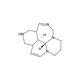 C1=CN2CCCN3CN=CC4CNCC1[C@@H]4[C@@H]23